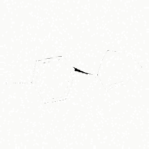 Clc1ccc([C@@H]2C=CCOC2)cc1